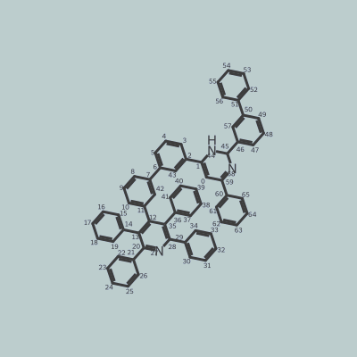 C1=C(c2cccc(-c3cccc(-c4c(-c5ccccc5)c(-c5ccccc5)nc(-c5ccccc5)c4-c4ccccc4)c3)c2)NC(c2cccc(-c3ccccc3)c2)N=C1c1ccccc1